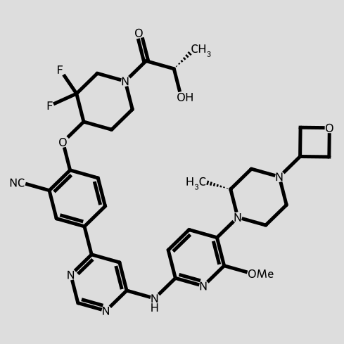 COc1nc(Nc2cc(-c3ccc(OC4CCN(C(=O)[C@H](C)O)CC4(F)F)c(C#N)c3)ncn2)ccc1N1CCN(C2COC2)C[C@H]1C